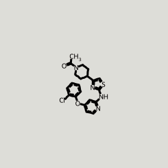 CC(=O)N1CCC(c2csc(Nc3cc(Oc4ccccc4Cl)ccn3)n2)CC1